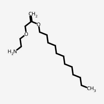 C=C(COCCN)OCCCCCCCCCCCC